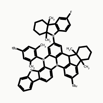 Cc1cc(C(C)(C)C)cc(C)c1N1c2cc(N3c4ccc(F)cc4C4(C)CCCCC34C)cc3c2B(c2cc(C(C)(C)C)cc4c2C3C2(C)CCCCC42C)c2ccc3c(sc4ccccc43)c21